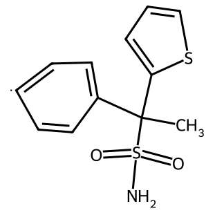 CC(c1cc[c]cc1)(c1cccs1)S(N)(=O)=O